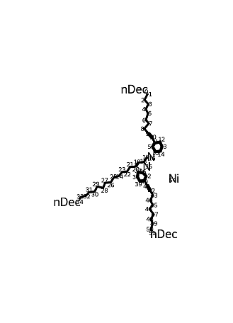 CCCCCCCCCCCCCCCCCCC#Cc1cccc(N=CC(C=CCCCCCCCCCCCCCCCCCCCCCCC)=Nc2cccc(C#CCCCCCCCCCCCCCCCCCC)c2)c1.[Ni]